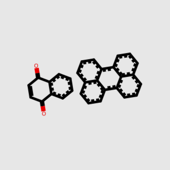 O=C1C=CC(=O)c2ccccc21.c1cc2cccc3c4cccc5cccc(c(c1)c23)c54